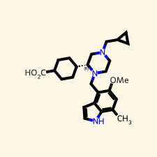 COc1cc(C)c2[nH]ccc2c1CN1CCN(CC2CC2)C[C@H]1C1CCC(C(=O)O)CC1